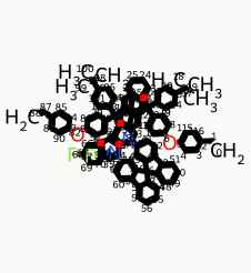 C=Cc1ccc(Oc2ccc(C3(c4ccc(C(C)(C)C)cc4)c4ccccc4-c4ccc(N(c5ccc(F)cc5)c5ccc6c(c5)C5(c7ccccc7-6)c6ccccc6-c6ccc(N(c7ccc(F)cc7)c7ccc8c(c7)C(c7ccc(Oc9ccc(C=C)cc9)cc7)(c7ccc(C(C)(C)C)cc7)c7ccccc7-8)cc65)cc43)cc2)cc1